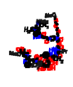 CNN(C)CC1Cc2cc(NC(=O)CCC(=O)N3CCC(N(CCOCCOCCOCCOC)C(=O)COCC(=O)N[C@H](C(=O)N[C@@H](C)C(=O)Nc4ccc(COC(=O)N(CCc5c6c(nc7ccccc57)-c5cc7c(c(=O)n5C6)COC(=O)[C@H]7OC)C(C)C)cc4O[C@@H]4O[C@H](C(=O)O)[C@@H](O)[C@H](O)[C@H]4O)C(C)C)CC3)ccc2N1C